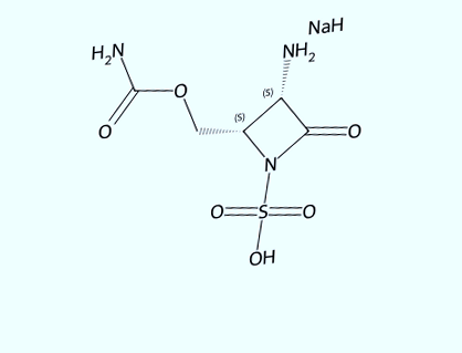 NC(=O)OC[C@@H]1[C@H](N)C(=O)N1S(=O)(=O)O.[NaH]